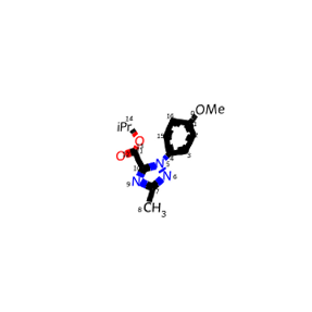 COc1ccc(-n2nc(C)nc2C(=O)OC(C)C)cc1